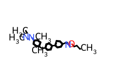 CCCCON=Cc1ccc(-c2ccc(Cc3cc(C)c(N=CN(C)CC)cc3C)cc2)cc1